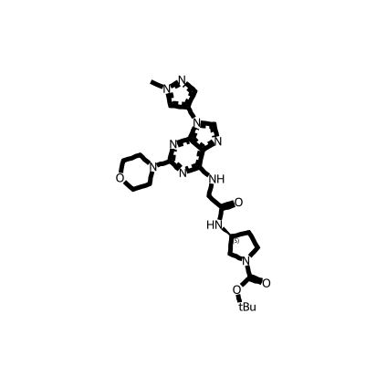 Cn1cc(-n2cnc3c(NCC(=O)N[C@H]4CCN(C(=O)OC(C)(C)C)C4)nc(N4CCOCC4)nc32)cn1